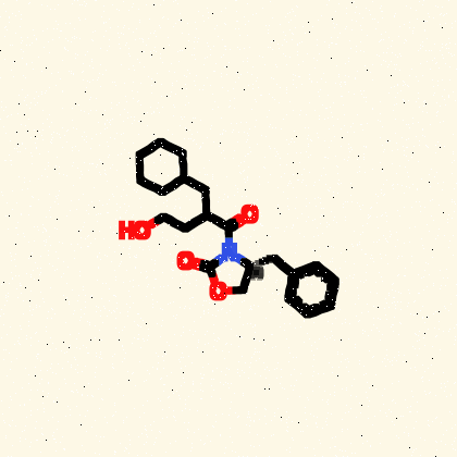 O=C1OC[C@@H](Cc2ccccc2)N1C(=O)C(CCO)CC1CCCCC1